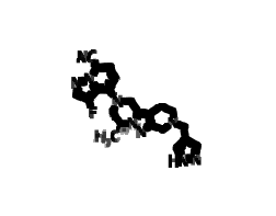 C[C@@H]1CN(c2ccc(C#N)n3ncc(F)c23)Cc2c3c(nn21)CN(Cc1cn[nH]c1)CC3